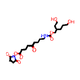 O=C(CCCCNC(=O)OCC(CCO)CCCO)CCCC(=O)ON1C(=O)CCC1=O